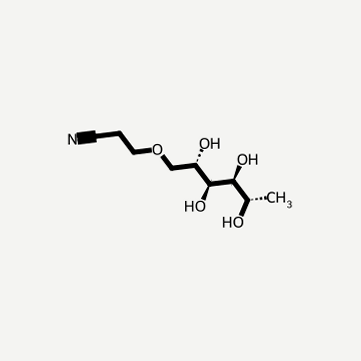 C[C@H](O)[C@H](O)[C@@H](O)[C@@H](O)COCCC#N